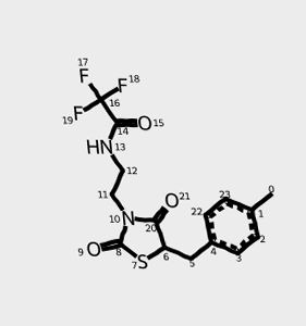 Cc1ccc(CC2SC(=O)N(CCNC(=O)C(F)(F)F)C2=O)cc1